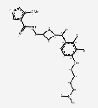 COc1cscc1C(=O)NCC1CN(C(C)c2ccc(OCCCCN(C)C)c(C)c2C)C1